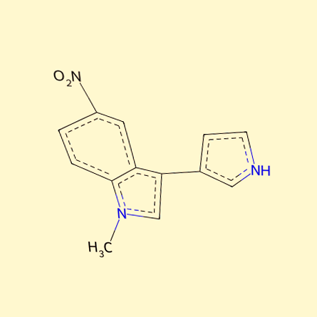 Cn1cc(-c2cc[nH]c2)c2cc([N+](=O)[O-])ccc21